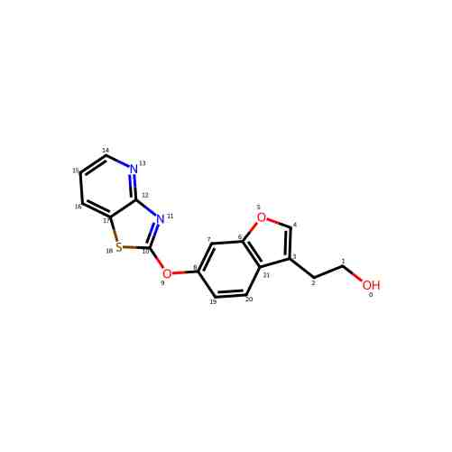 OCCc1coc2cc(Oc3nc4ncccc4s3)ccc12